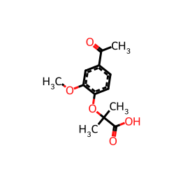 COc1cc(C(C)=O)ccc1OC(C)(C)C(=O)O